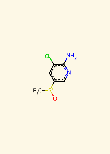 Nc1ncc([S+]([O-])C(F)(F)F)cc1Cl